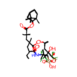 CCC(CC(C)(CC(C)(C)C(=O)OC1CC2CCC1(C)C2(C)C)C(=O)OC(C)CC(O)(C(F)(F)F)C(F)(F)F)C(=O)NC(C)(C)CS(=O)(=O)O